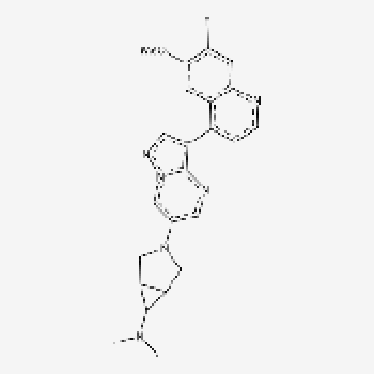 COc1cc2c(-c3cnn4cc(N5CC6C(C5)C6N(C)C)cnc34)ccnc2cc1F